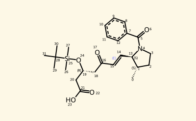 C[C@H]1CCN(C(=O)c2ccccc2)[C@@H]1/C=C/C(=O)C[C@H](CC(=O)O)O[Si](C)(C)C(C)(C)C